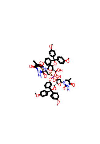 COc1ccc(C(OC[C@H]2O[C@@H](n3cc(C)c(=O)[nH]c3=O)C[C@@]2(O)OP(=O)(OC(O)[C@H]2O[C@@H](n3cc(C)c(=O)[nH]c3=O)C[C@@H]2OC(c2ccccc2)(c2ccc(OC)cc2)c2ccc(OC)cc2)SCCSC(C)=O)(c2ccccc2)c2ccc(OC)cc2)cc1